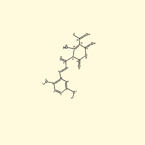 COc1ccc(OC)c(C=CC(=O)C2C(=O)OC(=O)C(C(C)=O)=C2O)c1